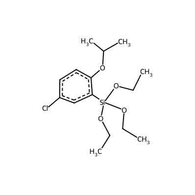 CCO[Si](OCC)(OCC)c1cc(Cl)ccc1OC(C)C